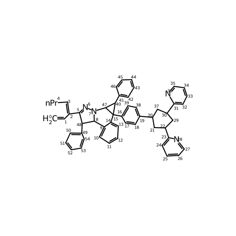 C=C/C(=C\CCC)C1=NN2C(c3ccccc3C3(c4ccc(C5CC(c6ccccn6)CC(c6ccccn6)C5)cc4)C(c4ccccc4)C23)C1c1ccccc1